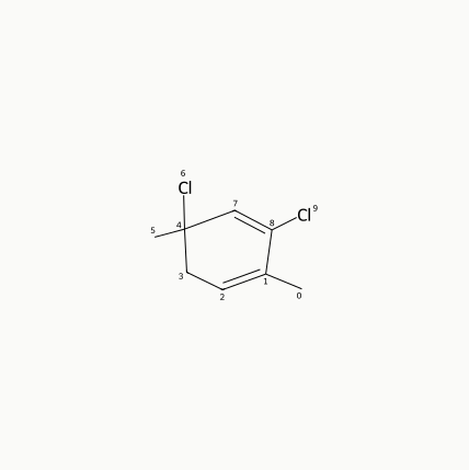 CC1=CCC(C)(Cl)C=C1Cl